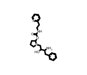 NC(Cc1ccccc1)C(O)CN1CCCC1OC(=O)NCCc1ccccn1